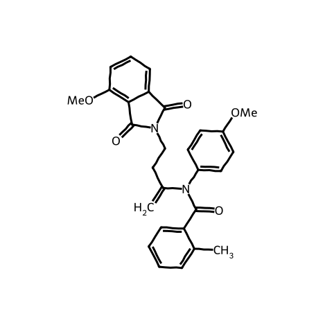 C=C(CCN1C(=O)c2cccc(OC)c2C1=O)N(C(=O)c1ccccc1C)c1ccc(OC)cc1